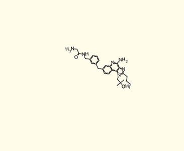 CCCCc1nc2c(N)nc3cc(Cc4cccc(CNC(=O)CN)c4)ccc3c2n1CC(C)(C)O